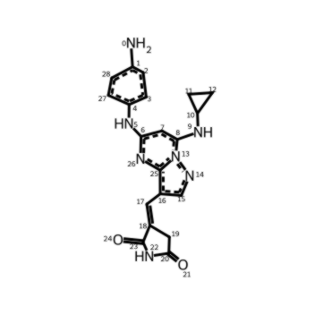 Nc1ccc(Nc2cc(NC3CC3)n3ncc(/C=C4\CC(=O)NC4=O)c3n2)cc1